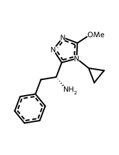 COc1nnc([C@H](N)Cc2ccccc2)n1C1CC1